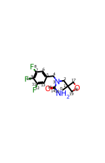 CC1(CN(Cc2cc(F)c(F)c(F)c2)C(N)=O)COC1